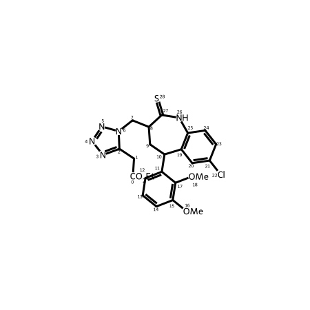 CCOC(=O)Cc1nnnn1CC1CC(c2cccc(OC)c2OC)c2cc(Cl)ccc2NC1=S